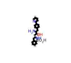 N[C@@H](Cc1ccc(-c2ccccn2)cc1)[C@@H](O)C[C@H](Cc1ccccc1)NC(=O)O